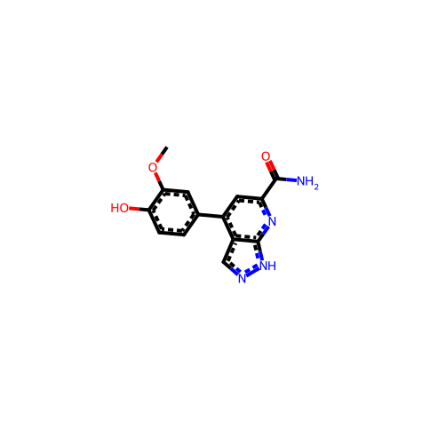 COc1cc(-c2cc(C(N)=O)nc3[nH]ncc23)ccc1O